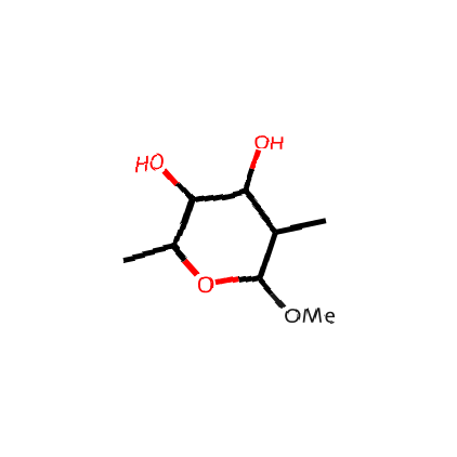 COC1OC(C)C(O)C(O)C1C